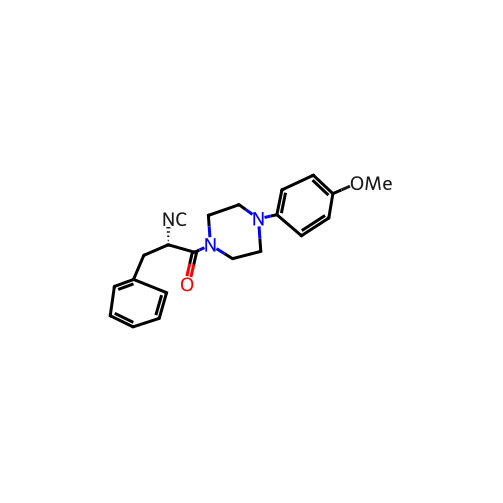 [C-]#[N+][C@@H](Cc1ccccc1)C(=O)N1CCN(c2ccc(OC)cc2)CC1